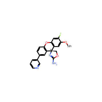 CCCOc1cc2c(cc1F)Oc1ccc(-c3cccnc3)cc1[C@]21COC(N)=N1